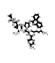 C=C[C@@H]1C[C@]1(NC(=O)[C@@H]1C[C@@H](Oc2nc3ccccc3c3ccccc23)CN1C(=O)[C@H](CCCCCC)NC(=O)c1cnc(C)cn1)C(=O)NS(=O)(=O)C1CC1